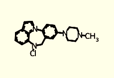 CN1CCN(c2ccc3c(c2)CN(Cl)c2cccc4ccn-3c24)CC1